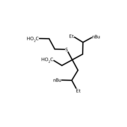 CCCCC(CC)CC(CC(=O)O)(CC(CC)CCCC)SCCC(=O)O